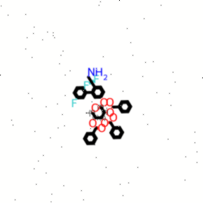 C[C@@H]1O[C@@H](Oc2ccc(C(F)(F)CN)c(-c3cccc(F)c3)c2)[C@H](OC(=O)c2ccccc2)[C@H](OC(=O)c2ccccc2)[C@H]1OC(=O)c1ccccc1